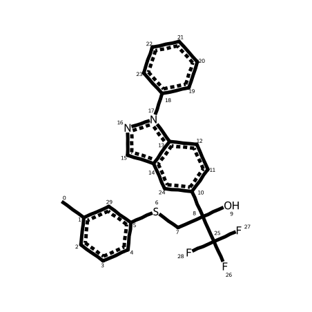 Cc1cccc(SCC(O)(c2ccc3c(cnn3-c3ccccc3)c2)C(F)(F)F)c1